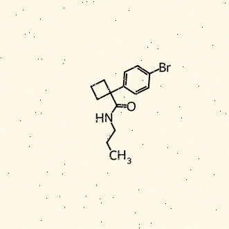 CCCNC(=O)C1(c2ccc(Br)cc2)CCC1